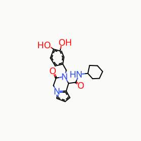 O=C(NC1CCCCC1)C1c2cccn2CC(=O)N1Cc1ccc(O)c(O)c1